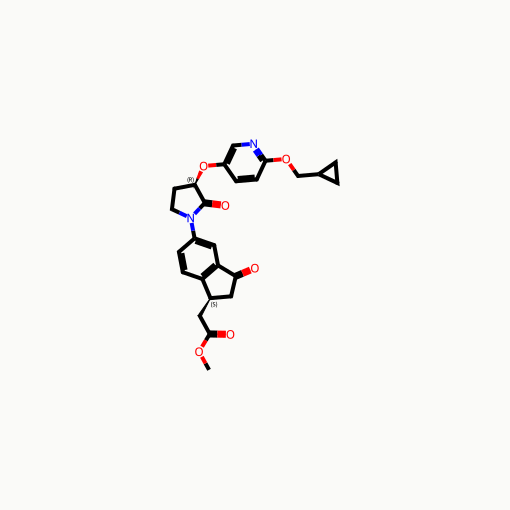 COC(=O)C[C@@H]1CC(=O)c2cc(N3CC[C@@H](Oc4ccc(OCC5CC5)nc4)C3=O)ccc21